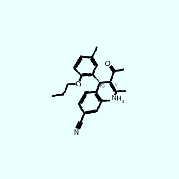 CCCOc1ccc(C)cc1[C@@H](/C(C(C)=O)=C(/C)N)c1ccc(C#N)cc1C